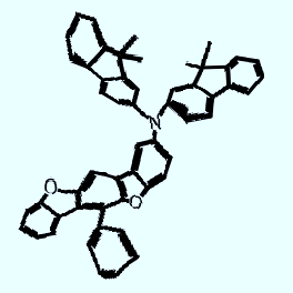 CC1(C)c2ccccc2-c2ccc(N(c3ccc4c(c3)C(C)(C)c3ccccc3-4)c3ccc4oc5c(-c6ccccc6)c6c(cc5c4c3)oc3ccccc36)cc21